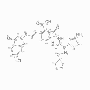 Nc1nc(/C(=N/OC2CCCC2)C(=O)NC2C(=O)N3C(C(=O)O)=C(/C=C/Sc4cc(=O)c5ccc(Cl)cc5s4)CS[C@H]23)cs1